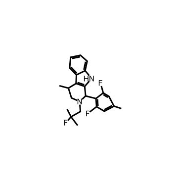 Cc1cc(F)c(C2c3[nH]c4ccccc4c3C(C)CN2CC(C)(C)F)c(F)c1